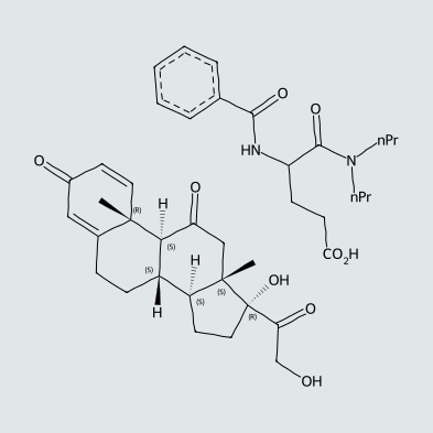 CCCN(CCC)C(=O)C(CCC(=O)O)NC(=O)c1ccccc1.C[C@]12C=CC(=O)C=C1CC[C@@H]1[C@@H]2C(=O)C[C@@]2(C)[C@H]1CC[C@]2(O)C(=O)CO